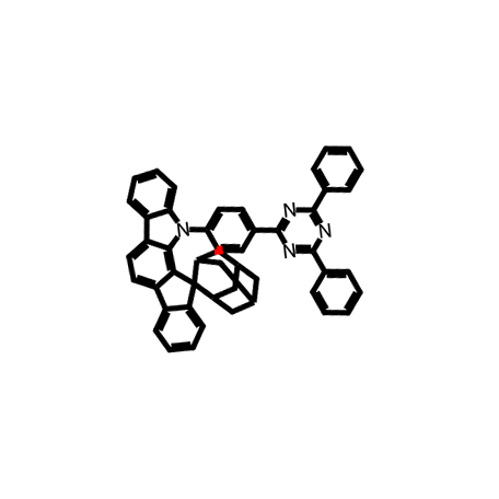 c1ccc(-c2nc(-c3ccccc3)nc(-c3ccc(-n4c5ccccc5c5ccc6c(c54)C4(c5ccccc5-6)C5CC6CC(C5)CC4C6)cc3)n2)cc1